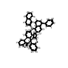 c1ccc(-c2cccc3c(N(c4ccc5c(c4)C4(c6ccccc6Sc6ccccc64)c4cccc6cccc-5c46)c4ccc5ccccc5c4)cccc23)cc1